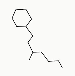 CCCCC(C)CCC1CCCCC1